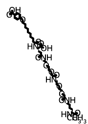 CN[C@@H](CCCCNC(=O)COCCOCCNC(=O)COCCOCCNC(=O)CC[C@H](NC(=O)CCCCCCCCCOc1ccc(C(=O)O)cc1)C(=O)O)C(C)=O